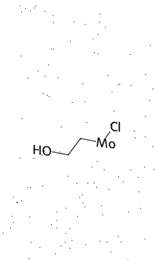 OC[CH2][Mo][Cl]